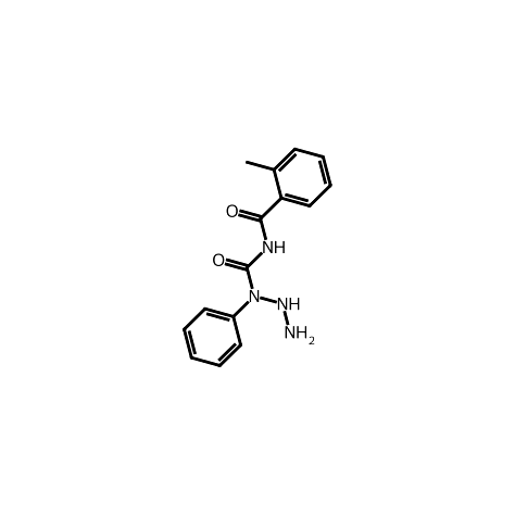 Cc1ccccc1C(=O)NC(=O)N(NN)c1ccccc1